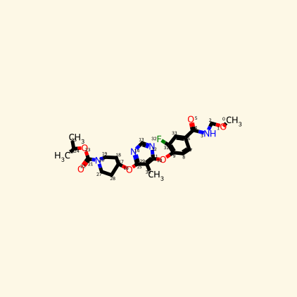 COCNC(=O)c1ccc(Oc2ncnc(OC3CCN(C(=O)OC(C)C)CC3)c2C)c(F)c1